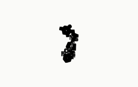 Cc1cc(C)c(Cc2csc(N3CCN(S(=O)(=O)c4c(F)cccc4F)CC3)n2)c(C)c1